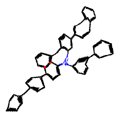 c1ccc(-c2ccc(-c3ccc(N(c4cccc(-c5ccccc5)c4)c4cc(-c5ccc6ccccc6c5)ccc4-c4ccccc4)cc3)cc2)cc1